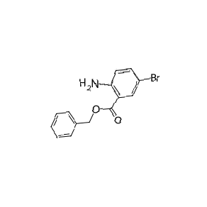 Nc1ccc(Br)cc1C(=O)OCc1ccccc1